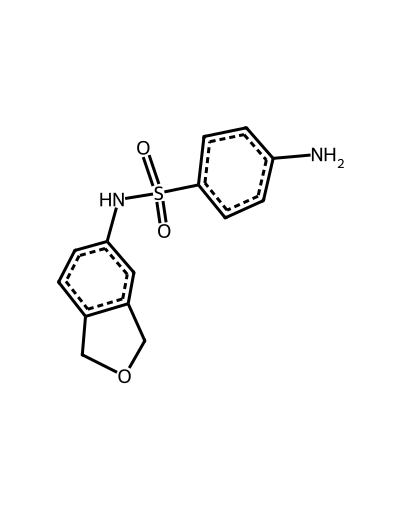 Nc1ccc(S(=O)(=O)Nc2ccc3c(c2)COC3)cc1